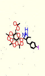 CC(=O)OC[C@H]1O[C@@H](Oc2n[nH]c(C)c2Cc2ccc(I)cc2)[C@H](OC(C)=O)[C@@H](OC(C)=O)[C@@H]1OC(C)=O